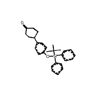 CC(C)(C)[Si](Oc1ccc(C2CCC(=O)CC2)cc1)(c1ccccc1)c1ccccc1